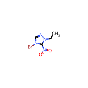 CCN1N=CN(Br)C1[N+](=O)[O-]